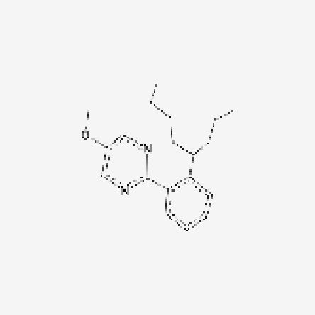 CCCCC(CCC)c1ccccc1-c1ncc(OC)cn1